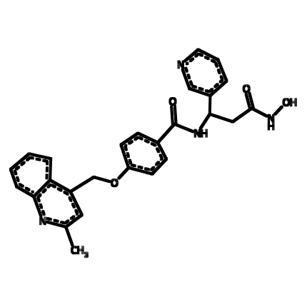 Cc1cc(COc2ccc(C(=O)NC(CC(=O)NO)c3cccnc3)cc2)c2ccccc2n1